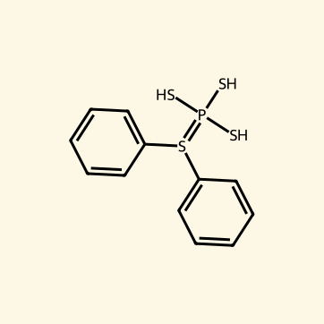 SP(S)(S)=S(c1ccccc1)c1ccccc1